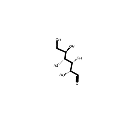 O=C[C@H](O)[C@@H](O)[C@H](S)[C@H](O)CO